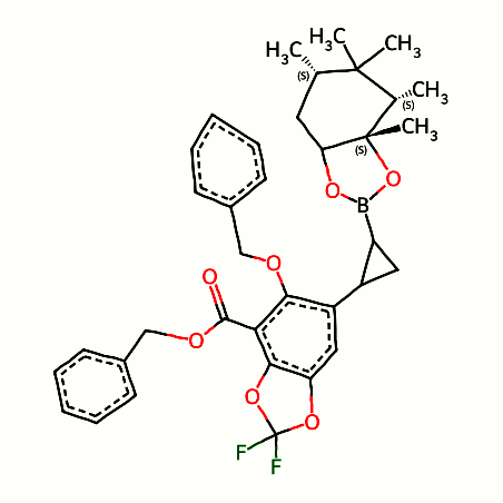 C[C@H]1CC2OB(C3CC3c3cc4c(c(C(=O)OCc5ccccc5)c3OCc3ccccc3)OC(F)(F)O4)O[C@@]2(C)[C@@H](C)C1(C)C